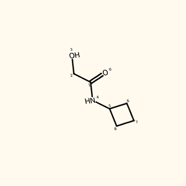 O=C(CO)NC1CCC1